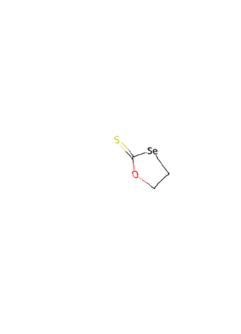 S=C1OCC[Se]1